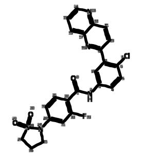 O=C(Nc1ccc(Cl)c(-c2ccc3ncccc3n2)c1)c1ccc(N2CCCS2(=O)=O)cc1F